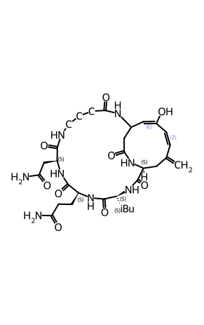 C=C1/C=C\C(O)=C/C2CC(=O)N[C@@H](C1)C(=O)N[C@@H]([C@@H](C)CC)C(=O)N[C@@H](CCC(N)=O)C(=O)N[C@@H](CC(N)=O)C(=O)NCCCC(=O)N2